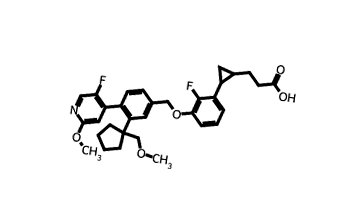 COCC1(c2cc(COc3cccc(C4CC4CCC(=O)O)c3F)ccc2-c2cc(OC)ncc2F)CCCC1